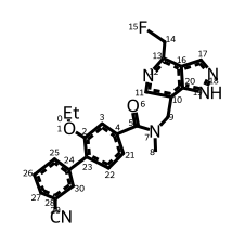 CCOc1cc(C(=O)N(C)Cc2cnc(CF)c3cn[nH]c23)ccc1-c1cccc(C#N)c1